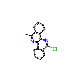 Cc1nc2c3ccccc3c(Cl)nc2c2ccccc12